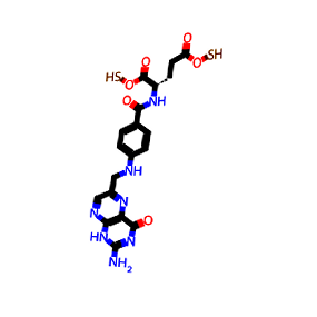 Nc1nc(=O)c2nc(CNc3ccc(C(=O)N[C@@H](CCC(=O)OS)C(=O)OS)cc3)cnc2[nH]1